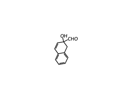 O=CC1(O)C=Cc2ccccc2C1